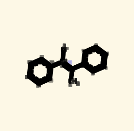 C/C(c1ccccc1)=[N+](/[O-])c1ccccc1